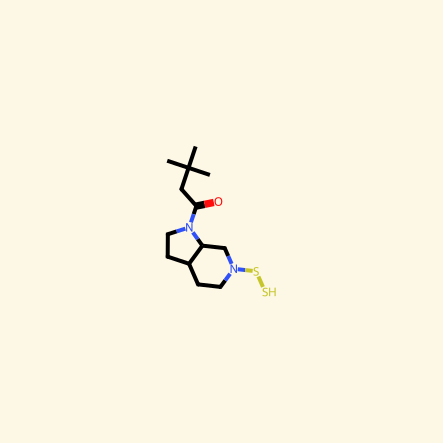 CC(C)(C)CC(=O)N1CCC2CCN(SS)CC21